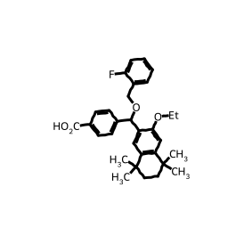 CCOc1cc2c(cc1C(OCc1ccccc1F)c1ccc(C(=O)O)cc1)C(C)(C)CCC2(C)C